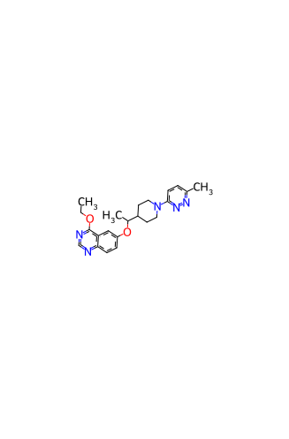 CCOc1ncnc2ccc(OC(C)C3CCN(c4ccc(C)nn4)CC3)cc12